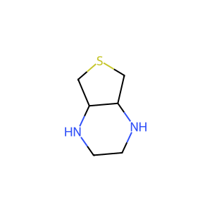 C1CNC2CSCC2N1